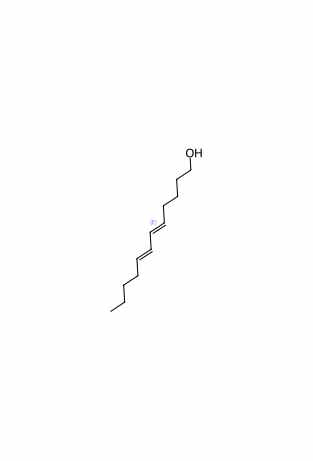 CCCCC=C/C=C/CCCCO